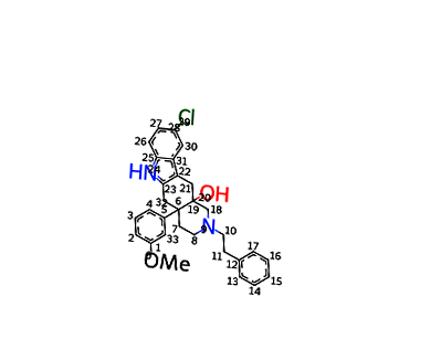 COc1cccc(C23CCN(CCc4ccccc4)CC2(O)Cc2c([nH]c4ccc(Cl)cc24)C3)c1